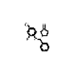 Fc1cc(Cl)ccc1OC(c1ccccc1)[C@H]1CCNC1